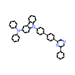 c1ccc(-c2cncc(-c3ccc(-c4ccc(-n5c6ccccc6c6cc(N(c7ccccc7)c7ccccc7)ccc65)cc4)cc3)n2)cc1